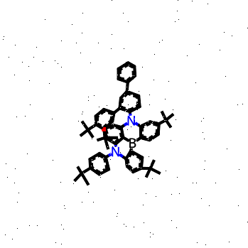 CC(C)(C)c1ccc(N2c3ccc(C(C)(C)C)cc3B3c4ccc(C(C)(C)C)cc4N(c4ccc(-c5ccccc5)cc4-c4ccc(C(C)(C)C)c(C(C)(C)C)c4)c4cccc2c43)cc1